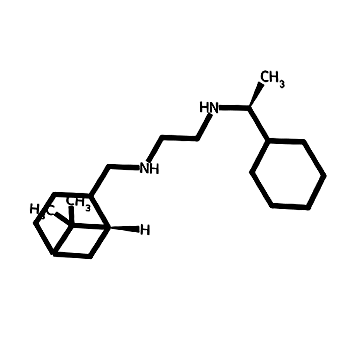 C[C@H](NCCNCC1CCC2C[C@@H]1C2(C)C)C1CCCCC1